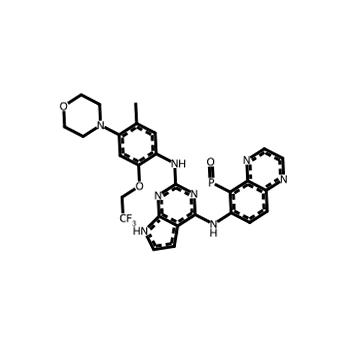 Cc1cc(Nc2nc(Nc3ccc4nccnc4c3P=O)c3cc[nH]c3n2)c(OCC(F)(F)F)cc1N1CCOCC1